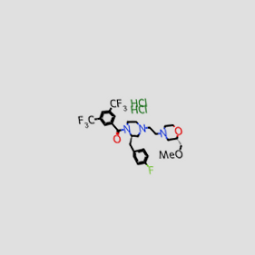 COC[C@@H]1CN(CCN2CCN(C(=O)c3cc(C(F)(F)F)cc(C(F)(F)F)c3)[C@H](Cc3ccc(F)cc3)C2)CCO1.Cl.Cl